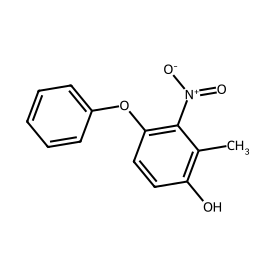 Cc1c(O)ccc(Oc2ccccc2)c1[N+](=O)[O-]